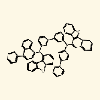 c1ccc(-c2ccc(N(c3cccc(-c4cccc(N(c5ccc(-c6ccccc6)c6ccccc56)c5cccc6oc7ccccc7c56)c4)c3)c3cc4ccccc4c4oc5ccccc5c34)cc2)cc1